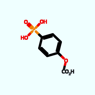 O=C(O)Oc1ccc(P(=O)(O)O)cc1